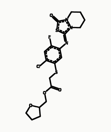 O=C(CSc1cc(N=c2sc(=O)n3n2CCCC3)c(F)cc1Cl)OCC1CCCO1